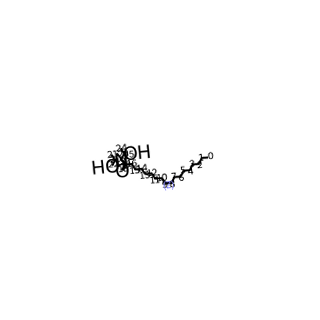 CCCCCCCC/C=C\CCCCCCCC(=O)N(C(C)O)C(C)O